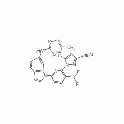 Cc1ccc(Nc2ccc3ncn(-c4ccc(C(F)F)c(-n5nc(C#N)cc5C)n4)c3c2)nn1